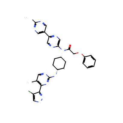 COc1ncc(-c2cnc(N(C(=O)COc3ccccc3)[C@H]3CC[C@H](Nc4ncc(C#N)c(-c5n[nH]cc5Cl)n4)CC3)cn2)cn1